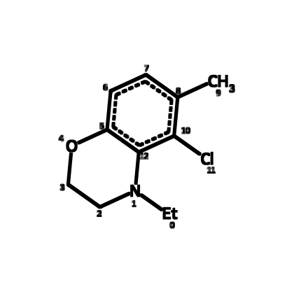 CCN1CCOc2ccc(C)c(Cl)c21